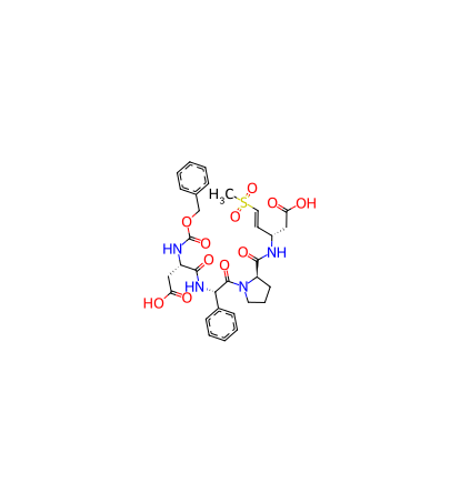 CS(=O)(=O)/C=C/[C@H](CC(=O)O)NC(=O)[C@H]1CCCN1C(=O)[C@@H](NC(=O)[C@H](CC(=O)O)NC(=O)OCc1ccccc1)c1ccccc1